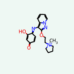 C[N+]1(CCOc2nn3ccccc3c2/N=C2\C=CC(=O)C=C2O)CCCC1